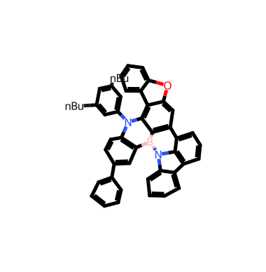 CCCCc1cc(CCCC)cc(N2c3ccc(-c4ccccc4)cc3B3c4c(cc5oc6ccccc6c5c42)-c2cccc4c5ccccc5n3c24)c1